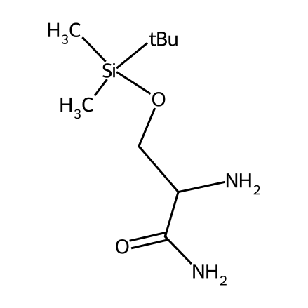 CC(C)(C)[Si](C)(C)OCC(N)C(N)=O